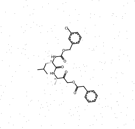 CC(C)C[C@H](NC(=O)OCc1cccc(Cl)c1)C(=O)N[C@@H](C)C(=O)COC(=O)Cc1ccccc1